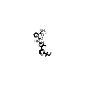 Cc1nc(NC(=O)N2CCC[C@H]2C(N)=O)sc1-c1ccnc(C(C)(C)CF)n1